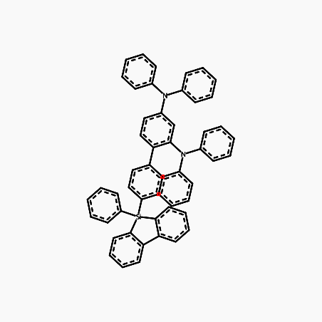 c1ccc(N(c2ccccc2)c2ccc(-c3ccc([Si]4(c5ccccc5)c5ccccc5-c5ccccc54)cc3)c(N(c3ccccc3)c3ccccc3)c2)cc1